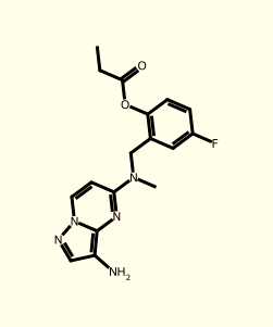 CCC(=O)Oc1ccc(F)cc1CN(C)c1ccn2ncc(N)c2n1